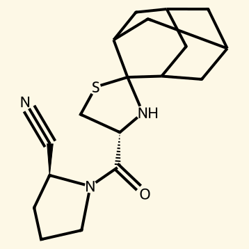 N#C[C@@H]1CCCN1C(=O)[C@@H]1CSC2(N1)C1CC3CC(C1)CC2C3